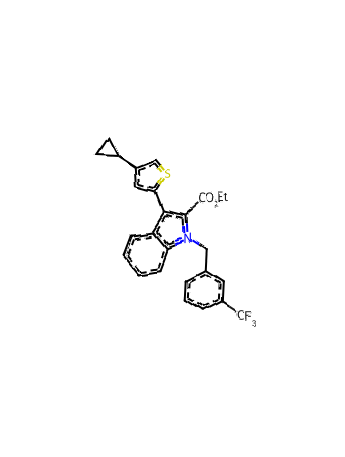 CCOC(=O)c1c(-c2cc(C3CC3)cs2)c2ccccc2n1Cc1cccc(C(F)(F)F)c1